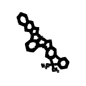 CC1(C)c2ccccc2-c2cc3nc4n(c3cc21)c1cccc2c1n4c1nc3cc4ccccc4cc3n21